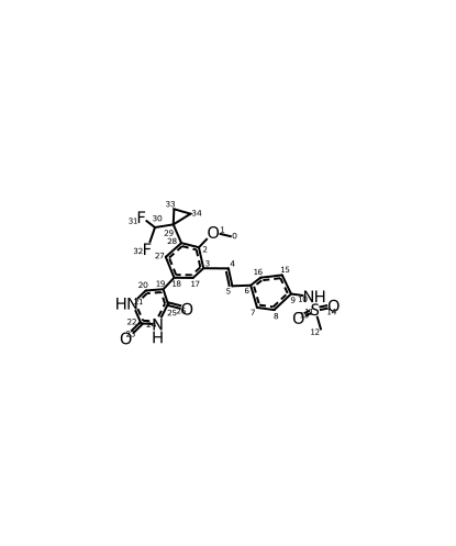 COc1c(C=Cc2ccc(NS(C)(=O)=O)cc2)cc(-c2c[nH]c(=O)[nH]c2=O)cc1C1(C(F)F)CC1